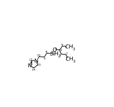 CCCC(CC)O[SiH2]CCCN1C=NCC1